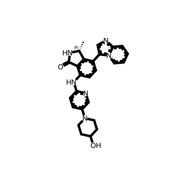 C[C@H]1NC(=O)c2c(Nc3ccc(N4CCC(O)CC4)cn3)ccc(-c3cnc4ccccn34)c21